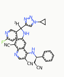 [2H]C(Nc1cc(C#N)c2ncc(C#N)c(N[C@H](CC#N)c3ccccc3)c2c1)(c1ccc(F)nc1)c1cn(C2CC2)nn1